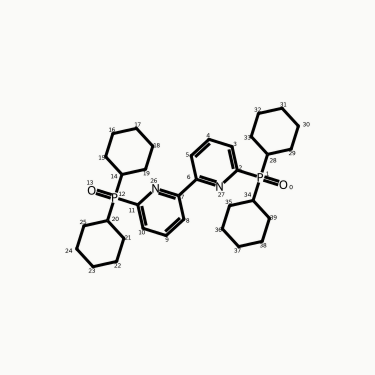 O=P(c1cccc(-c2cccc(P(=O)(C3CCCCC3)C3CCCCC3)n2)n1)(C1CCCCC1)C1CCCCC1